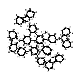 N#Cc1c(-c2ccc(-n3c4ccccc4c4ccccc43)cc2)c(-c2ccc(-n3c4ccccc4c4ccccc43)cc2)c(-c2cc(-c3ccccc3)nc(-c3ccccc3)c2)c(-c2ccc(-n3c4ccccc4c4ccccc43)cc2)c1-c1ccc(-n2c3ccccc3c3ccccc32)cc1